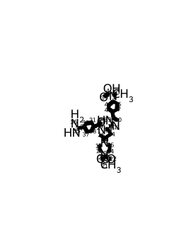 CN(C(=O)O)c1ccc(-c2cnc([C@@H]3C[C@H](N4CCN(S(C)(=O)=O)CC4)CN3C(=O)c3ccc(C(=N)N)cc3)[nH]2)cc1